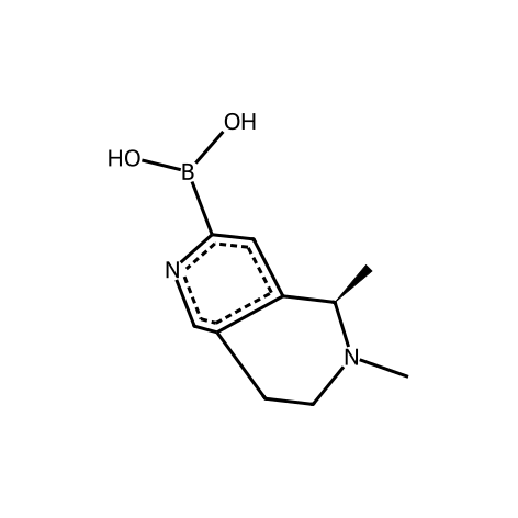 C[C@@H]1c2cc(B(O)O)ncc2CCN1C